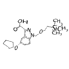 C[Si](C)(C)CCOCn1nc(C(=O)O)c2cc(OC3CCCC3)ccc21